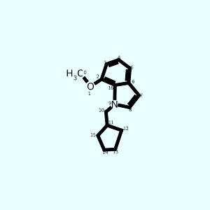 COc1cccc2ccn(CC3CCCC3)c12